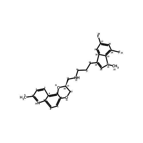 Cc1ccc2c3c(ccc2n1)OC[C@H](CNCCCc1cn(C)c2c(F)cc(F)cc12)O3